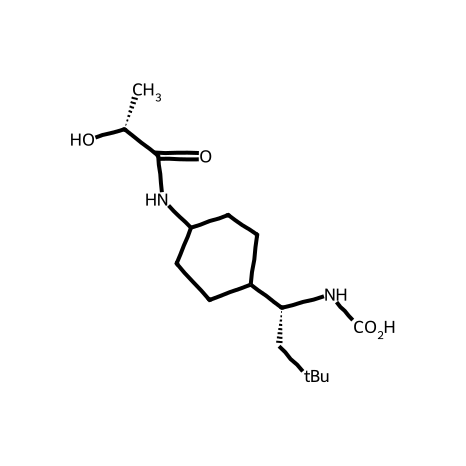 C[C@@H](O)C(=O)NC1CCC([C@@H](CC(C)(C)C)NC(=O)O)CC1